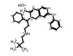 CC(C)(C)CCNCCC(C1CCCCC1)N1Cc2cc(Oc3ccccc3)ncc2N=C1N.Cl